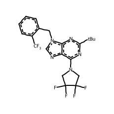 CC(C)(C)c1nc(N2CC(F)(F)C(F)(F)C2)c2ncn(Cc3ccccc3C(F)(F)F)c2n1